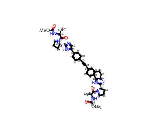 COC(=O)N[C@H](C(=O)N1CCC[C@H]1c1ncc(-c2ccc(C#Cc3ccc4c(c3)CCc3nc([C@@H]5CCCN5C(=O)[C@@H](NC(=O)OC)C(C)C)[nH]c3-4)cc2)[nH]1)C(C)C